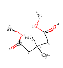 CC(=O)OC(CC(=O)OC(C)C)(CC(=O)OC(C)C)C(=O)O